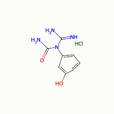 Cl.N=C(N)N(C(N)=O)c1cccc(O)c1